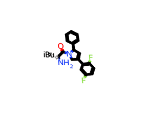 CC[C@H](C)[C@H](N)C(=O)N1CC(c2cc(F)ccc2F)=CC1c1ccccc1